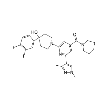 Cc1nn(C)cc1-c1cc(C(=O)N2CCCCC2)cc(N2CCC(O)(c3ccc(F)c(F)c3)CC2)n1